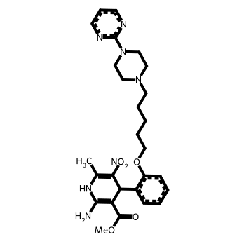 COC(=O)C1=C(N)NC(C)=C([N+](=O)[O-])C1c1ccccc1OCCCCCN1CCN(c2ncccn2)CC1